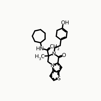 C=C(NC1CCCCCC1)C1(C)Cn2c(cc3sccc32)C(=O)N1CCC1=CC=C(O)CC1